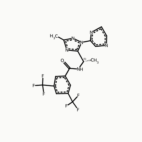 Cc1nc([C@H](C)NC(=O)c2cc(C(F)(F)F)cc(C(F)(F)F)c2)n(-c2cnccn2)n1